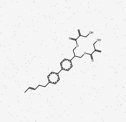 C=C(CO)C(=O)OCC(COC(=O)C(=C)CO)c1ccc(-c2ccc(CC/C=C/C)cc2)cc1